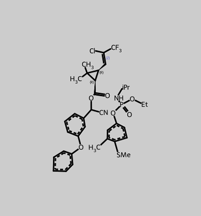 CC1(C)[C@H](C(=O)OC(C#N)c2cccc(Oc3ccccc3)c2)[C@@H]1/C=C(\Cl)C(F)(F)F.CCOP(=O)(NC(C)C)Oc1ccc(SC)c(C)c1